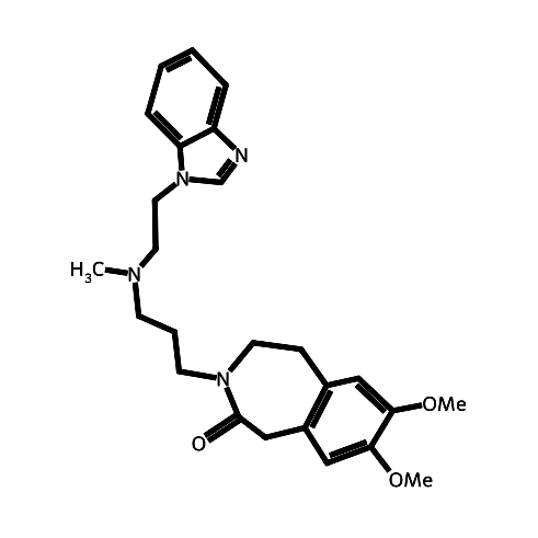 COc1cc2c(cc1OC)CC(=O)N(CCCN(C)CCn1cnc3ccccc31)CC2